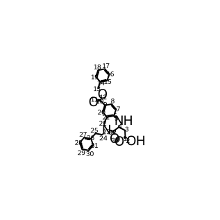 O=C(O)CC1Nc2ccc(C(=O)OCc3ccccc3)cc2CN(CCc2ccccc2)C1=O